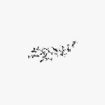 C[C@@](N)(CN1CC(Oc2ccc3c(c2C(=O)O)OB(O)[C@@H]2C[C@H]32)C1)C(=O)NCCN